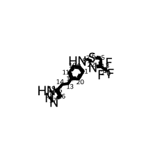 FC(F)(F)c1csc(Nc2ccc(CCc3cnn[nH]3)cc2)n1